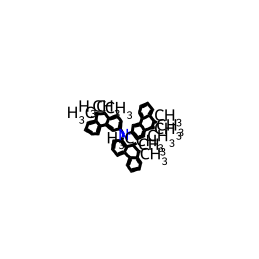 CC1(C)c2ccccc2-c2cc(N(c3ccc4c(c3)-c3ccccc3C(C)(C)C4(C)C)c3cccc4c3C(C)(C)C(C)(C)c3ccccc3-4)ccc2C1(C)C